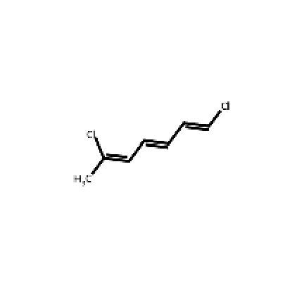 CC(Cl)=CC=CC=CCl